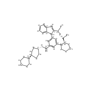 FC[C@H]1COCCN1c1cc(-n2c(C(F)F)nc3ccccc32)nc(NC[C@H]2CC[C@H](N3CCOCC3)CC2)n1